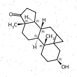 C[C@]12CC[C@H]3[C@@H](CC4CC45C[C@@H](O)CC[C@]35C)[C@@H]1CCC2=O